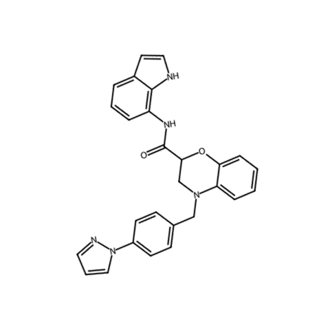 O=C(Nc1cccc2cc[nH]c12)C1CN(Cc2ccc(-n3cccn3)cc2)c2ccccc2O1